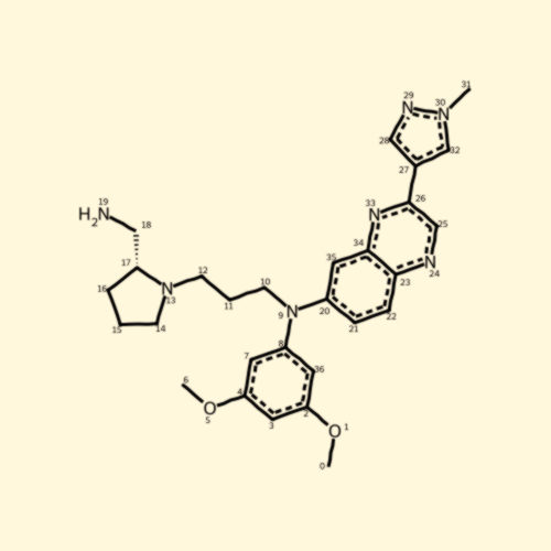 COc1cc(OC)cc(N(CCCN2CCC[C@@H]2CN)c2ccc3ncc(-c4cnn(C)c4)nc3c2)c1